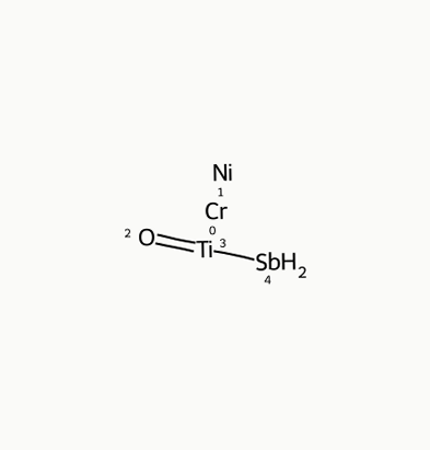 [Cr].[Ni].[O]=[Ti][SbH2]